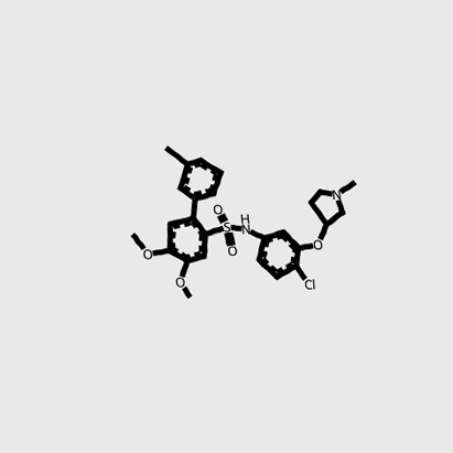 COc1cc(-c2cccc(C)c2)c(S(=O)(=O)Nc2ccc(Cl)c(OC3CCN(C)C3)c2)cc1OC